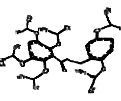 CCCC(CC)Oc1ccc(OC(CC)CCC)c(CCC(=O)c2c(OC(CC)CCC)c(OC(CC)CCC)cc(OC(CC)CCC)c2OC(CC)CCC)c1